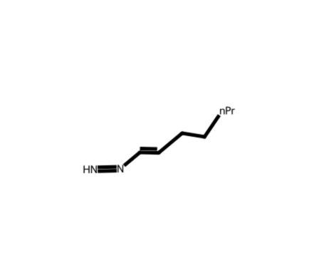 CCCCC/C=C/N=N